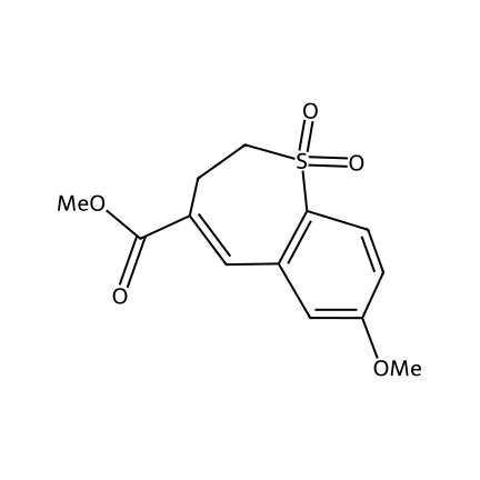 COC(=O)C1=Cc2cc(OC)ccc2S(=O)(=O)CC1